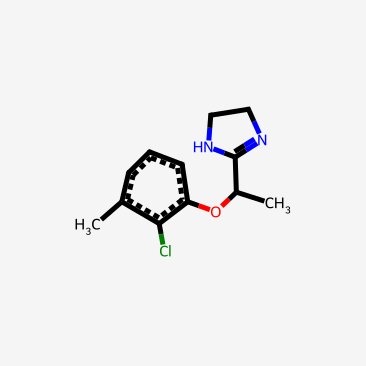 Cc1cccc(OC(C)C2=NCCN2)c1Cl